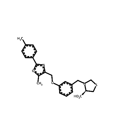 Cc1ccc(-c2nc(COc3cccc(CN4CSC[C@H]4C(=O)O)c3)c(C)o2)cc1